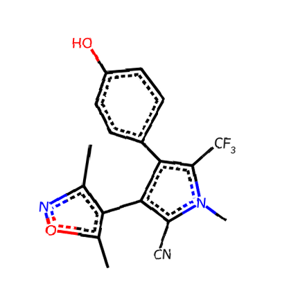 Cc1noc(C)c1-c1c(-c2ccc(O)cc2)c(C(F)(F)F)n(C)c1C#N